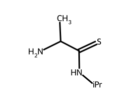 CC(C)NC(=S)C(C)N